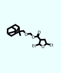 CCC1CC(C(=O)OCOCC2(C)C3CC4CC(C3)CC2C4)C(CC)O1